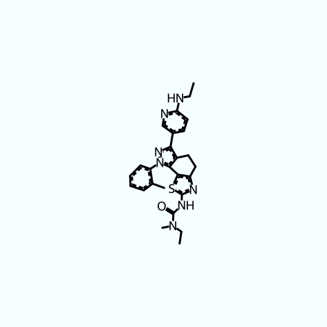 CCNc1ccc(-c2nn(-c3ccccc3C)c3c2CCc2nc(NC(=O)N(C)CC)sc2-3)cn1